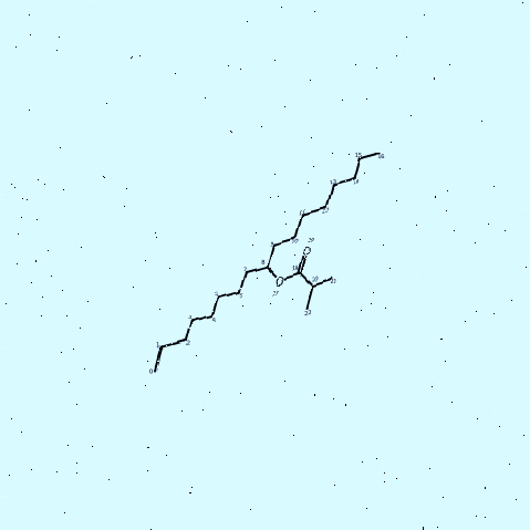 CCCCCCCCC(CCCCCCCC)OC(=O)C(C)C